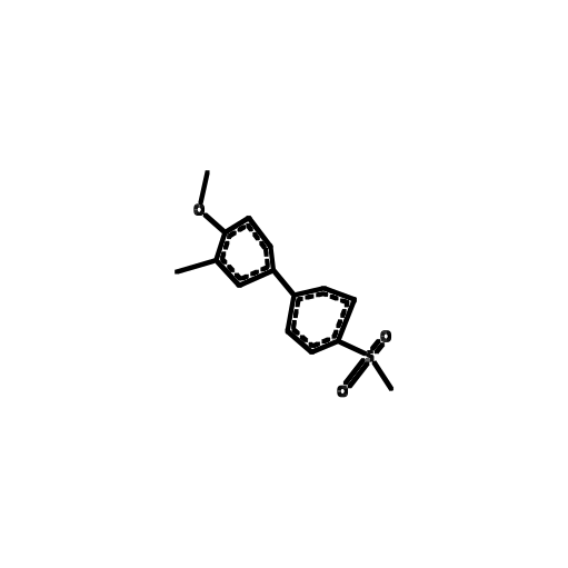 COc1ccc(-c2ccc(S(C)(=O)=O)cc2)cc1C